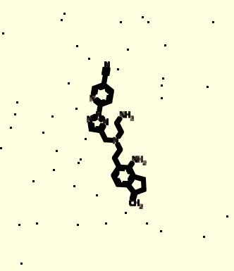 C=C1CCc2c1ccc(CCN(CCN)Cc1cnn(-c3ccc(C#N)cn3)n1)c2N